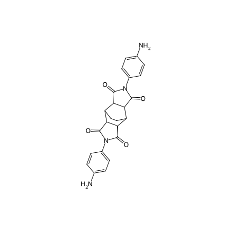 Nc1ccc(N2C(=O)C3C4CCC(C3C2=O)C2C(=O)N(c3ccc(N)cc3)C(=O)C42)cc1